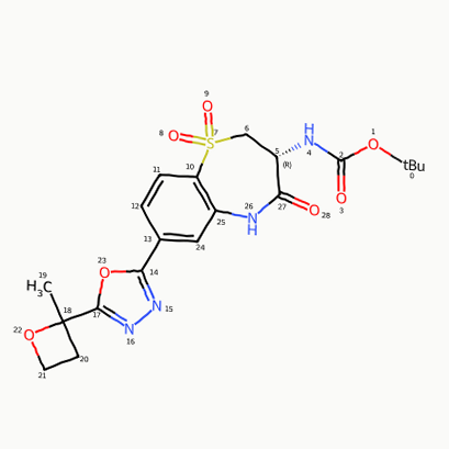 CC(C)(C)OC(=O)N[C@H]1CS(=O)(=O)c2ccc(-c3nnc(C4(C)CCO4)o3)cc2NC1=O